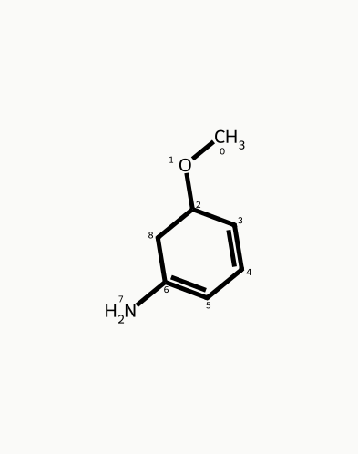 COC1C=CC=C(N)C1